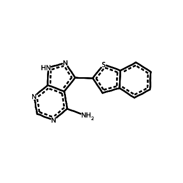 Nc1ncnc2[nH]nc(-c3cc4ccccc4s3)c12